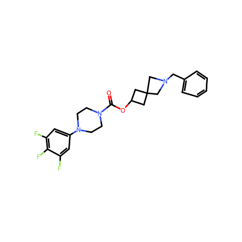 O=C(OC1CC2(C1)CN(Cc1ccccc1)C2)N1CCN(c2cc(F)c(F)c(F)c2)CC1